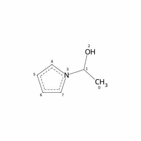 CC(O)n1cccc1